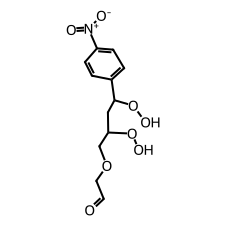 O=CCOCC(CC(OO)c1ccc([N+](=O)[O-])cc1)OO